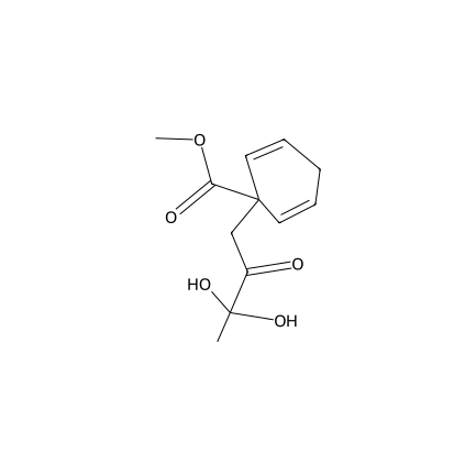 COC(=O)C1(CC(=O)C(C)(O)O)C=CCC=C1